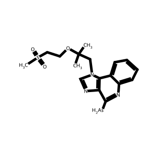 CC(C)(Cn1cnc2c([AsH2])nc3ccccc3c21)OCCS(C)(=O)=O